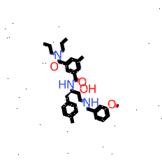 CCCN(CCC)C(=O)c1cc(C)cc(C(=O)N[C@H](Cc2ccc(C)cc2)[C@@H](O)CNCc2cccc(OC)c2)c1